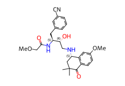 COCC(=O)N[C@@H](Cc1cccc(C#N)c1)[C@H](O)CN[C@H]1CC(C)(C)C(=O)c2ccc(OC)cc21